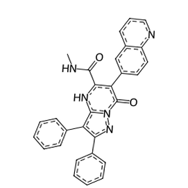 CNC(=O)c1[nH]c2c(-c3ccccc3)c(-c3ccccc3)nn2c(=O)c1-c1ccc2ncccc2c1